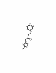 Cc1noc(CC(=O)OCc2ccccc2)n1